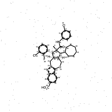 C[C@]1(C(=O)Nc2cccc(Cl)c2)[C@@H](c2cccc(Cl)c2F)[C@@H]2Cn3nc4cc(C(=O)O)ccc4c3OC[C@@H]2N1C1CCCCCC1